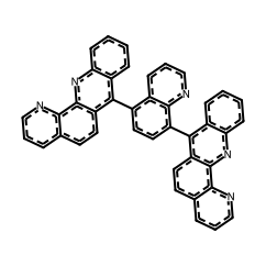 c1cnc2c(c1)ccc1c(-c3ccc(-c4c5ccccc5nc5c4ccc4cccnc45)c4ncccc34)c3ccccc3nc12